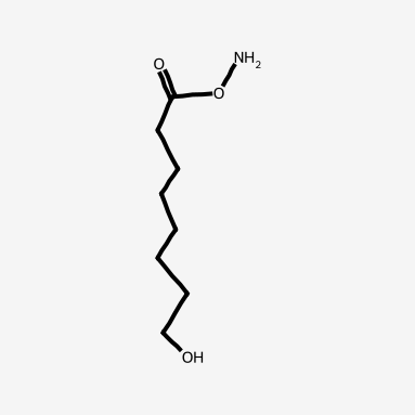 NOC(=O)CCCCCCCO